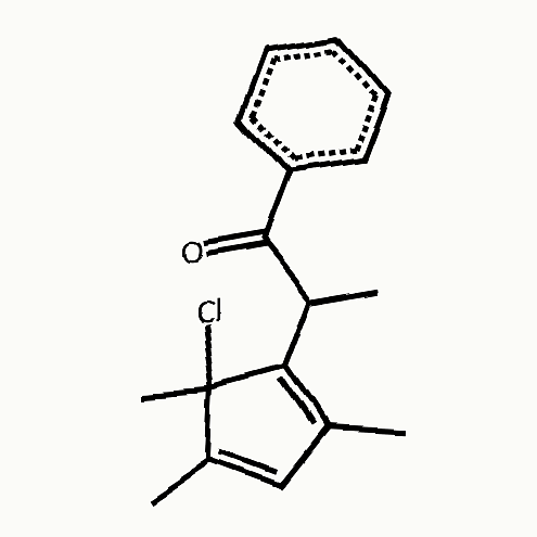 CC1=CC(C)=C(C(C)C(=O)c2ccccc2)C1(C)Cl